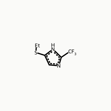 CCSc1cnc(C(F)(F)F)[nH]1